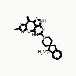 C=C(c1cnc(C)s1)c1n[nH]c2nc(N3CCC4(CC3)Cc3ccccc3[C@H]4N)[nH]c(=O)c12